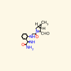 C[C@@H]1[C@@H]2CN(C(=O)CNc3ccccc3C(=N)C(N)=O)[C@H](C=O)[C@H]12